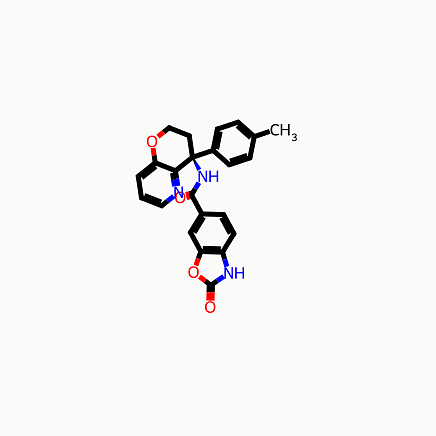 Cc1ccc([C@@]2(NC(=O)c3ccc4[nH]c(=O)oc4c3)CCOc3cccnc32)cc1